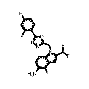 Nc1ccc2c(cc(C(F)F)n2Cc2nnc(-c3ccc(F)cc3F)o2)c1Cl